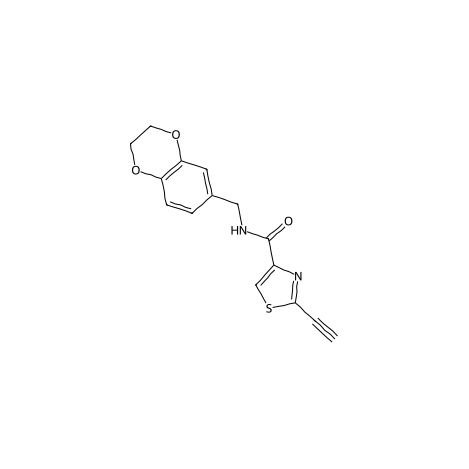 C#Cc1nc(C(=O)NCc2ccc3c(c2)OCCO3)cs1